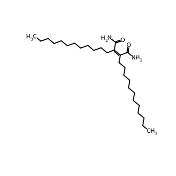 CCCCCCCCCCCC/C(C(N)=O)=C(\CCCCCCCCCCCC)C(N)=O